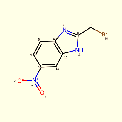 O=[N+]([O-])c1ccc2nc(CBr)[nH]c2c1